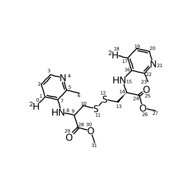 [2H]c1ccnc(C)c1NC(CSSC[C@@H](Nc1c([2H])ccnc1C)C(=O)OC)C(=O)OC